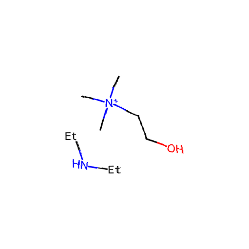 CCNCC.C[N+](C)(C)CCO